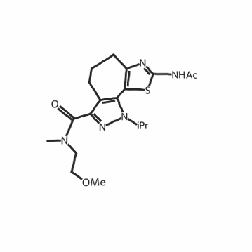 COCCN(C)C(=O)c1nn(C(C)C)c2c1CCCc1nc(NC(C)=O)sc1-2